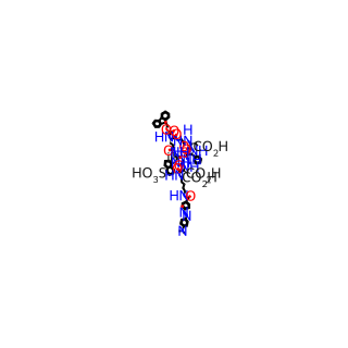 CC(C)[C@H](NC(=O)[C@@H](NC(=O)[C@H](CC(=O)O)NC(=O)CNC(=O)[C@H](CCC(=O)NCCNc1cccc2c(S(=O)(=O)O)cccc12)NC(=O)OCC1c2ccccc2-c2ccccc21)c1ccccc1)C(=O)N[C@@H](CC(=O)O)C(=O)N[C@@H](CCCCNC(=O)c1ccc(/N=N/c2ccc(N(C)C)cc2)cc1)C(=O)O